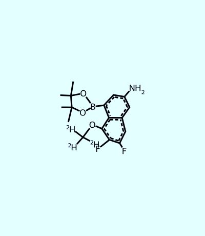 [2H]C([2H])([2H])Oc1c(F)c(F)cc2cc(N)cc(B3OC(C)(C)C(C)(C)O3)c12